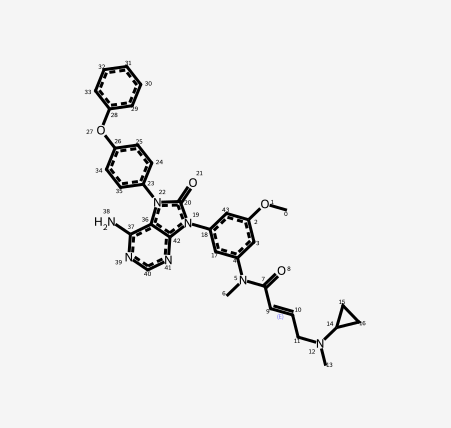 COc1cc(N(C)C(=O)/C=C/CN(C)C2CC2)cc(-n2c(=O)n(-c3ccc(Oc4ccccc4)cc3)c3c(N)ncnc32)c1